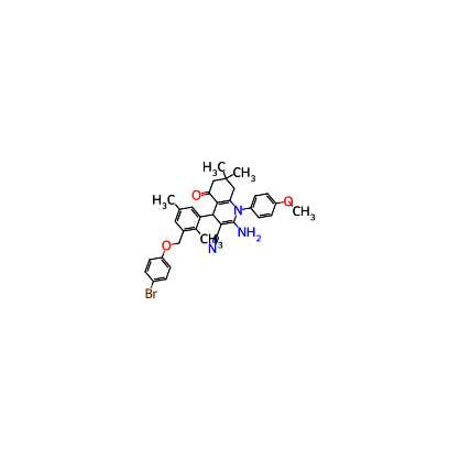 COc1ccc(N2C(N)=C(C#N)C(c3cc(C)cc(COc4ccc(Br)cc4)c3C)C3=C2CC(C)(C)CC3=O)cc1